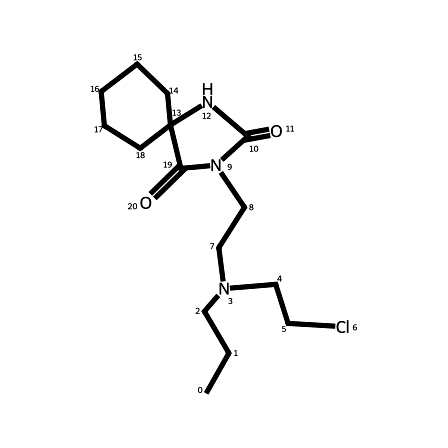 CCCN(CCCl)CCN1C(=O)NC2(CCCCC2)C1=O